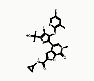 Cc1cc(F)cnc1Oc1c(-c2cn(C)c(=O)c3[nH]c(C(=O)NC4CC4)cc23)sc(C(C)(C)O)c1F